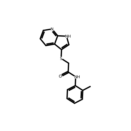 Cc1ccccc1NC(=O)CSc1c[nH]c2ncccc12